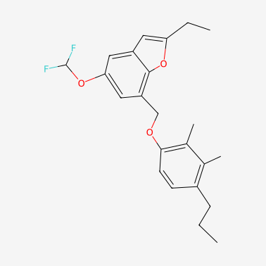 CCCc1ccc(OCc2cc(OC(F)F)cc3cc(CC)oc23)c(C)c1C